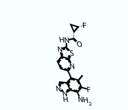 Cc1c(F)c(N)c2[nH]ncc2c1-c1ccc2nc(NC(=O)[C@@H]3C[C@@H]3F)sc2n1